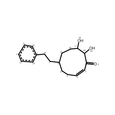 O=C1C=CCCC(CCc2ccccc2)CCC(O)C1O